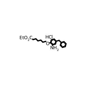 CCOC(=O)CCCCCCOc1ccc(Cc2ccccc2)cc1N.Cl